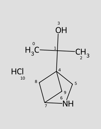 CC(C)(O)C12CNC(C1)C2.Cl